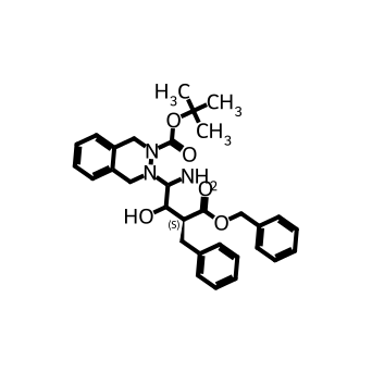 CC(C)(C)OC(=O)N1Cc2ccccc2CN1C(N)C(O)[C@H](Cc1ccccc1)C(=O)OCc1ccccc1